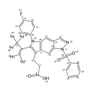 [2H]C([2H])=C(c1c(CCC(=O)O)c2cc3c(cnn3S(=O)(=O)c3ccccc3)cc2n1-c1ccc(F)cc1)C([2H])([2H])[2H]